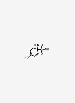 NC1(S(N)(=O)=O)C=CC(O)=CC1